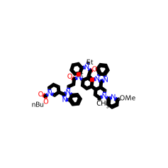 CCCCOC(=O)N1CCCC(c2nc3ccccc3n2CCC(=O)N(CC)C2CCC(C3CC(C)N(c4cccc(OC)n4)CC3c3nc4ccccc4n3CCC(=O)N(CC)C3CCCCC3)CC2)C1